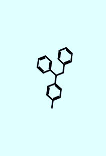 Cc1ccc(C(Cc2ccccc2)c2ccccc2)cc1